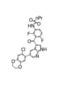 CCCS(=O)(=O)Nc1ccc(F)c(C(=O)c2c[nH]c3ncc(-c4cc5c(cc4Cl)OCCO5)cc23)c1F